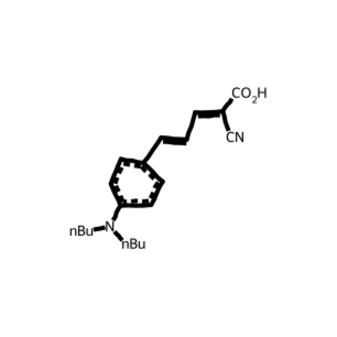 CCCCN(CCCC)c1ccc(/C=C/C=C(\C#N)C(=O)O)cc1